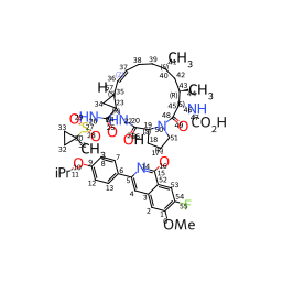 COc1cc2cc(-c3ccc(OC(C)C)cc3)nc(O[C@@H]3C[C@H]4C(=O)N[C@]5(C(=O)NS(=O)(=O)C6(C)CC6)C[C@H]5/C=C\CC[C@H](C)C[C@@H](C)[C@H](NC(=O)O)C(=O)N4C3)c2cc1F